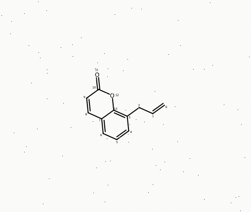 C=CCc1cccc2c[c]c(=O)oc12